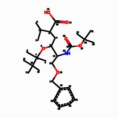 CC(C)C(CC(O[Si](C)(C)C(C)(C)C)C(COCc1ccccc1)NC(=O)OC(C)(C)C)C(=O)O